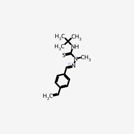 C=Cc1ccc(/C=N/N(C)C(=S)NC(C)(C)C)cc1